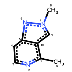 Cc1nccc2nn(C)cc12